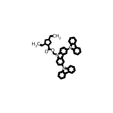 C=CC1CC(C=C)C(C(=O)OCn2c3ccc(-n4c5ccccc5c5ccccc54)cc3c3cc(-n4c5ccccc5c5ccccc54)ccc32)C1